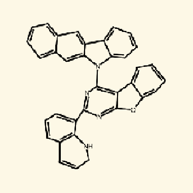 C1=Cc2cccc(-c3nc(-n4c5ccccc5c5cc6ccccc6cc54)c4c(n3)oc3ccccc34)c2NC1